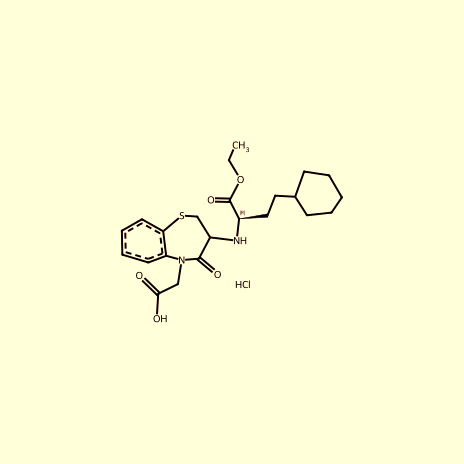 CCOC(=O)[C@@H](CCC1CCCCC1)NC1CSc2ccccc2N(CC(=O)O)C1=O.Cl